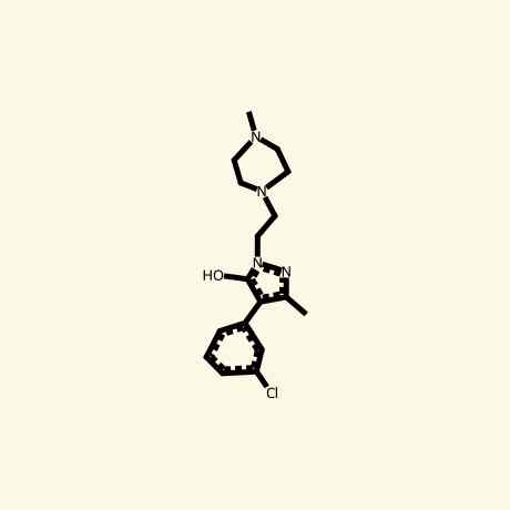 Cc1nn(CCN2CCN(C)CC2)c(O)c1-c1cccc(Cl)c1